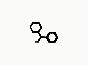 OC(c1ccccc1)C1CC=CCC1